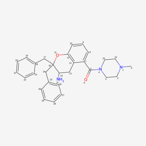 CN1CCN(C(=O)c2cccc3c2CC(N)C(Cc2ccccc2)(Cc2ccccc2)O3)CC1